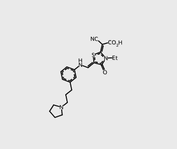 CCn1c(=C(C#N)C(=O)O)sc(=CNc2cccc(CCCN3CCCC3)c2)c1=O